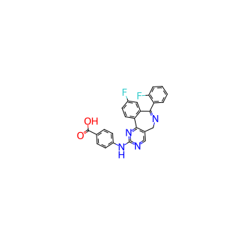 O=C(O)c1ccc(Nc2ncc3c(n2)-c2ccc(F)cc2C(c2ccccc2F)=NC3)cc1